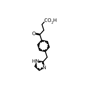 O=C(O)CCC(=O)c1ccc(Cc2ncc[nH]2)cc1